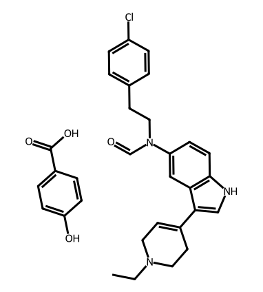 CCN1CC=C(c2c[nH]c3ccc(N(C=O)CCc4ccc(Cl)cc4)cc23)CC1.O=C(O)c1ccc(O)cc1